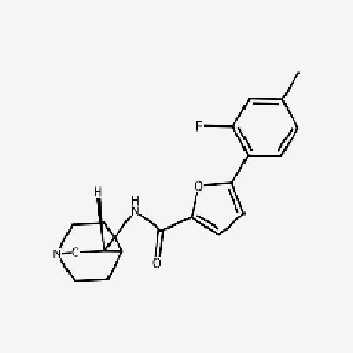 Cc1ccc(-c2ccc(C(=O)N[C@H]3CN4CCC3CC4)o2)c(F)c1